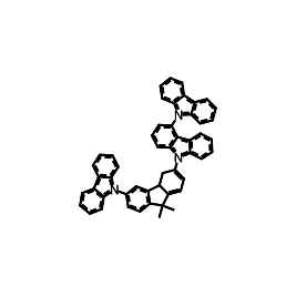 CC1(C)C2=CC=C(n3c4ccccc4c4c(-n5c6ccccc6c6ccccc65)cccc43)CC2c2cc(-n3c4ccccc4c4ccccc43)ccc21